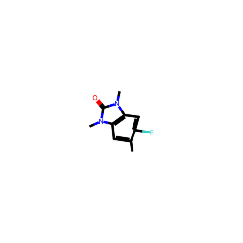 Cc1cc2c(cc1F)n(C)c(=O)n2C